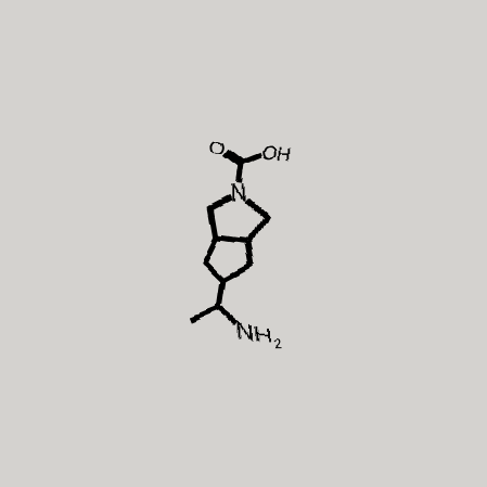 CC(N)C1CC2CN(C(=O)O)CC2C1